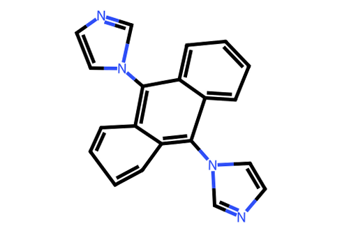 c1ccc2c(-n3ccnc3)c3ccccc3c(-n3ccnc3)c2c1